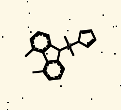 Cc1cccc2c1-c1c(C)cccc1C2[Si](C)(C)C1C=CC=C1